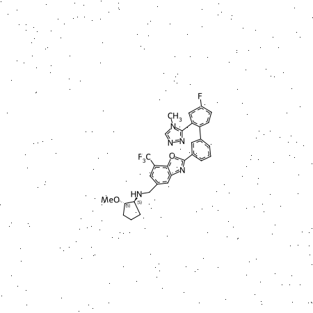 CO[C@H]1CCC[C@@H]1NCc1cc(C(F)(F)F)c2oc(-c3cccc(-c4ccc(F)cc4-c4nncn4C)c3)nc2c1